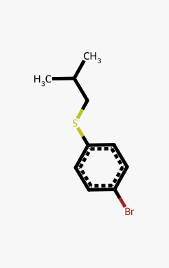 CC(C)CSc1ccc(Br)cc1